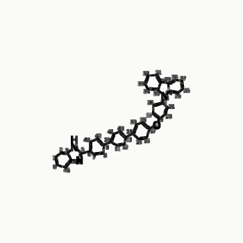 c1ccc2[nH]c(-c3ccc(-c4ccc(-c5ccc(Oc6ccc(-n7c8ccccc8c8ccccc87)cc6)cc5)cc4)cc3)nc2c1